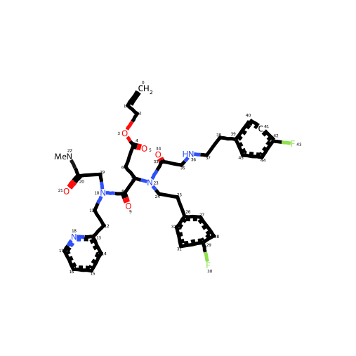 C=CCOC(=O)CC(C(=O)N(CCc1ccccn1)CC(=O)NC)N(CCc1ccc(F)cc1)C(=O)CNCCc1ccc(F)cc1